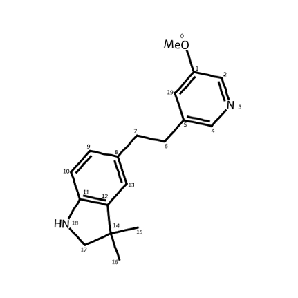 COc1cncc(CCc2ccc3c(c2)C(C)(C)CN3)c1